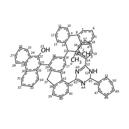 CC1(C)c2ccccc2-c2ccccc2C1c1cc2c(c(-c3c(O)c4ccccc4c4ccccc34)c1)Cc1cccc(C3=NC(c4ccccc4)NC(c4ccccc4)=N3)c1-2